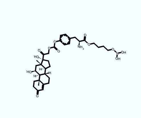 C[C@]12CCC(=O)C=C1CC[C@@H]1[C@@H]2[C@@H](O)C[C@@]2(C)[C@H]1CC[C@]2(O)C(=O)COC(=O)Oc1ccc(C[C@H](N)C(=O)OCCCCON(O)O)cc1